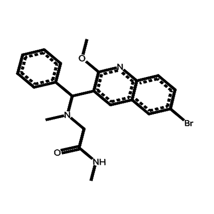 CNC(=O)CN(C)C(c1ccccc1)c1cc2cc(Br)ccc2nc1OC